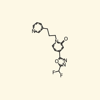 O=c1cc(-c2nnc(C(F)F)o2)ccn1CCCc1cccnc1